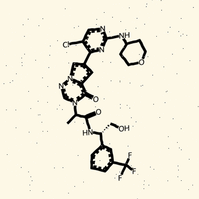 CC(C(=O)N[C@H](CO)c1cccc(C(F)(F)F)c1)n1cnn2cc(-c3nc(NC4CCOCC4)ncc3Cl)cc2c1=O